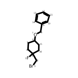 FC1(CBr)CCC(OCc2ccccc2)CC1